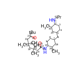 CC(C)NC1CCC(CC2CCC(NC(=O)CC(C)(C)CC(C)(C)CC(=O)C(C)(C)C)C(C)C2)CC1C